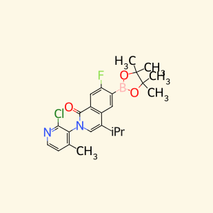 Cc1ccnc(Cl)c1-n1cc(C(C)C)c2cc(B3OC(C)(C)C(C)(C)O3)c(F)cc2c1=O